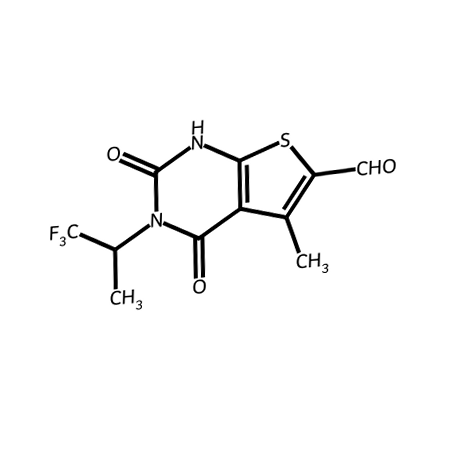 Cc1c(C=O)sc2[nH]c(=O)n(C(C)C(F)(F)F)c(=O)c12